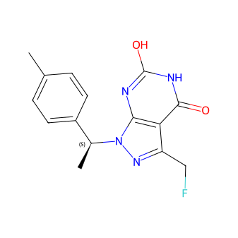 Cc1ccc([C@H](C)n2nc(CF)c3c(=O)[nH]c(O)nc32)cc1